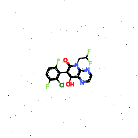 O=c1c(-c2c(F)ccc(F)c2Cl)c(O)c2nccnc2n1CC(F)F